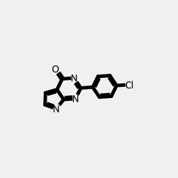 O=C1N=C(c2ccc(Cl)cc2)N=C2N=CC=C12